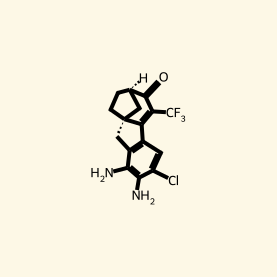 Nc1c(Cl)cc2c(c1N)C[C@]13CC[C@H](C1)C(=O)C(C(F)(F)F)=C23